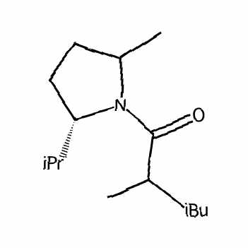 CCC(C)C(C)C(=O)N1C(C)CC[C@H]1C(C)C